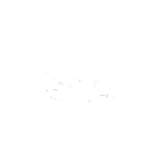 CC(=O)N[C@H](C(=O)O[C@@H](C)OC(=O)NC[C@]1(c2ccccc2Cl)CCCCC1=O)C(C)C